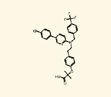 CC(C)(Oc1ccc(CCN(Cc2ccc(C(F)(F)F)cc2)c2ccc(-c3ccc(Cl)cc3)cn2)cc1)C(=O)O